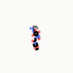 CNc1nc2c(o1)C(=O)c1n[n+]([O-])n(CCC(=O)N3CCC4(CC3)OCCO4)c1C2=O